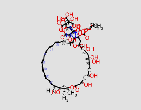 C=CCOC(=O)N[C@@H]1[C@H](O)[C@H](O[C@H]2/C=C/C=C/C=C/C=C/C=C/C=C/C=C/[C@H](C)[C@@H](O)[C@@H](C)[C@H](C)OC(=O)C[C@H](O)C[C@H](O)CC[C@@H](O)[C@H](O)C[C@H](O)C[C@]3(O)C[C@H](OC(=O)OCC=C)[C@@H](NC(=O)N4C[C@@](O)(C(=O)O)[C@@](O)(C(=O)O)C4)[C@H](C2)O3)O[C@H](C)[C@H]1O